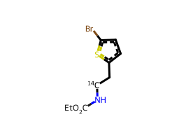 CCOC(=O)N[14CH2]Cc1ccc(Br)s1